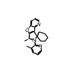 Cc1cccnc1N1[C@@H](C)c2oc3cccnc3c2C12CCCCC2